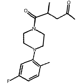 CC(=O)CC(C)C(=O)N1CCN(c2cc(F)ccc2C)CC1